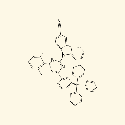 Cc1cccc(C)c1-c1nc(-c2cccc([Si](c3ccccc3)(c3ccccc3)c3ccccc3)c2)nc(-n2c3ccccc3c3cc(C#N)ccc32)n1